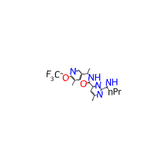 CCCC(=N)c1nc(C)cc(C(=O)NC(C)c2cnc(OCC(F)(F)F)c(C)c2)n1